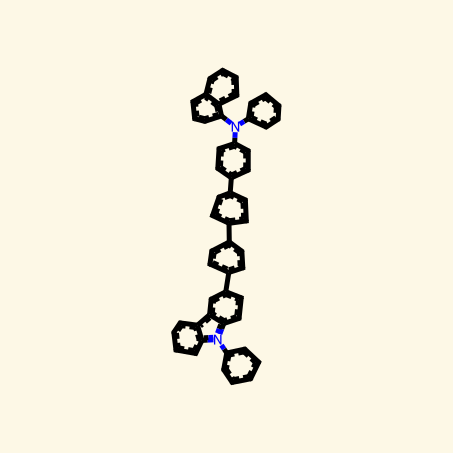 c1ccc(N(c2ccc(-c3ccc(-c4ccc(-c5ccc6c(c5)c5ccccc5n6-c5ccccc5)cc4)cc3)cc2)c2cccc3ccccc23)cc1